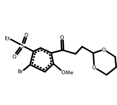 CCS(=O)(=O)c1cc(C(=O)CCC2OCCCO2)c(OC)cc1Br